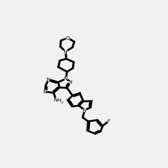 Nc1ncnc2c1c(-c1ccc3c(ccn3Cc3cccc(F)c3)c1)nn2C1CCC(N2CCOCC2)CC1